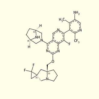 Cc1c(N)cnc(C(F)(F)F)c1-c1ncc2c(N3C[C@H]4CC[C@@H](C3)N4)nc(OC[C@@]34CCCN3C[C@@]3(CC3(F)F)C4)nc2c1F